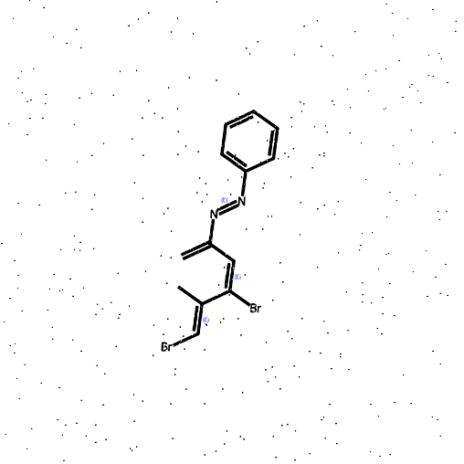 C=C(/C=C(Br)\C(C)=C\Br)/N=N/c1ccccc1